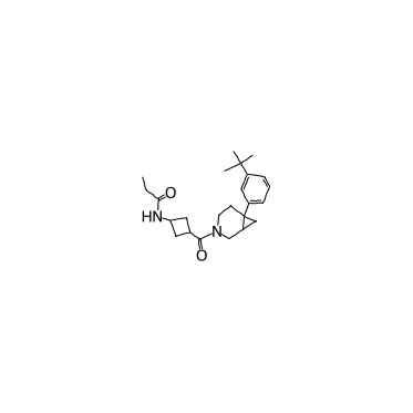 CCC(=O)NC1CC(C(=O)N2CCC3(c4cccc(C(C)(C)C)c4)CC3C2)C1